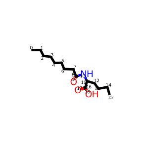 CCCCCCCCC(=O)NC(CCCC)C(=O)O